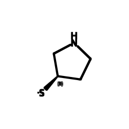 [S][C@@H]1CCNC1